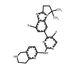 CC1(C)CCc2nc3c(F)cc(-c4nc(Nc5ccc6c(n5)CCNC6)ncc4F)cc3n21